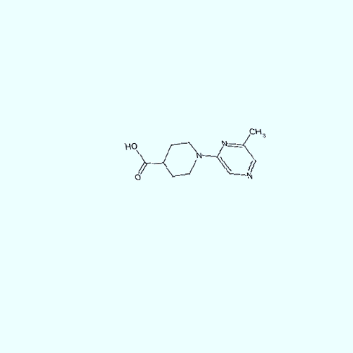 Cc1cncc(N2CCC(C(=O)O)CC2)n1